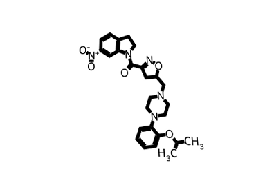 CC(C)Oc1ccccc1N1CCN(CC2CC(C(=O)N3CCc4ccc([N+](=O)[O-])cc43)=NO2)CC1